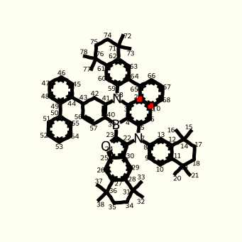 Cc1cc2c3c(c1)N(c1ccc4c(c1)C(C)(C)CCC4(C)C)c1c(oc4cc5c(cc14)C(C)(C)CCC5(C)C)B3C1=C(CC(c3ccccc3-c3ccccc3)C=C1)N2c1cc2c(cc1-c1ccccc1)C(C)(C)CCC2(C)C